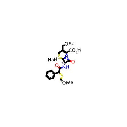 COCSC(C(=O)N[C@H]1C(=O)N2C(C(=O)O)=C(COC(C)=O)CSC12)c1ccccc1.[NaH]